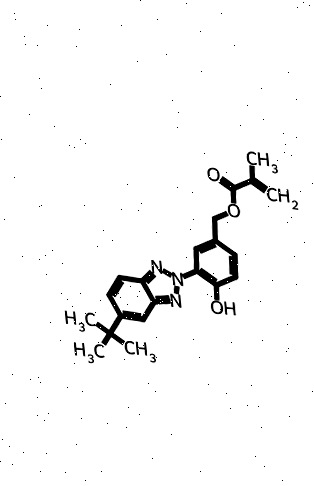 C=C(C)C(=O)OCc1ccc(O)c(-n2nc3ccc(C(C)(C)C)cc3n2)c1